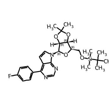 CC1(C)O[C@@H]2[C@H](O1)[C@@H](CO[Si](C)(C)C(C)(C)C)O[C@H]2n1ccc2c(-c3ccc(F)cc3)ncnc21